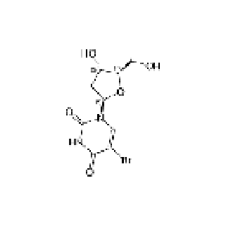 O=c1[nH]c(=O)n([C@H]2C[C@H](O)[C@@H]([CH]O)O2)cc1Br